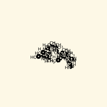 CC[C@@H](C)[C@H](NC(=O)[C@H](Cc1ccc(O)cc1)NC(=O)[C@H](CC(C)C)NC(=O)CNC(=O)[C@H](C)NC(=O)[C@@H](NC(=O)[C@H](CC(N)=O)NC(=O)[C@H](Cc1ccc(O)cc1)NC(=O)[C@@H](NC(=O)[C@@H](N)Cc1ccc(O)cc1)[C@H](C)CC)C(C)C)C(=O)N[C@@H](Cc1c[nH]cn1)C(=O)N[C@@H](Cc1c[nH]cn1)C(N)=O